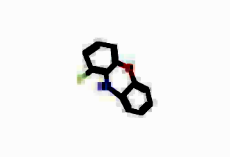 Fc1cccc2c1Nc1ccccc1O2